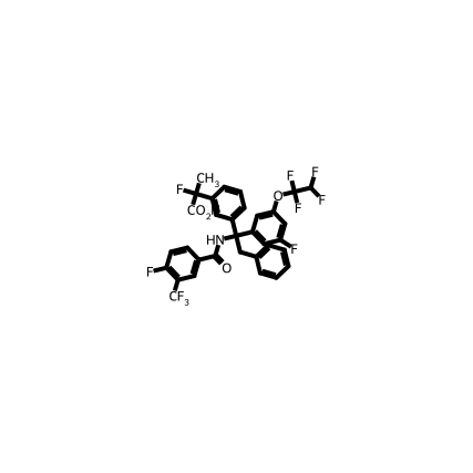 CC(F)(C(=O)O)c1cccc(C(Cc2ccccc2)(NC(=O)c2ccc(F)c(C(F)(F)F)c2)c2cc(F)cc(OC(F)(F)C(F)F)c2)c1